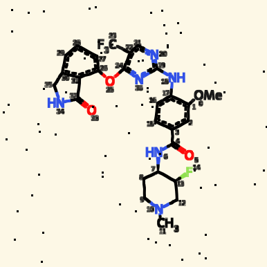 COc1cc(C(=O)N[C@@H]2CCN(C)C[C@@H]2F)ccc1Nc1ncc(C(F)(F)F)c(Oc2cccc3c2C(=O)NC3)n1